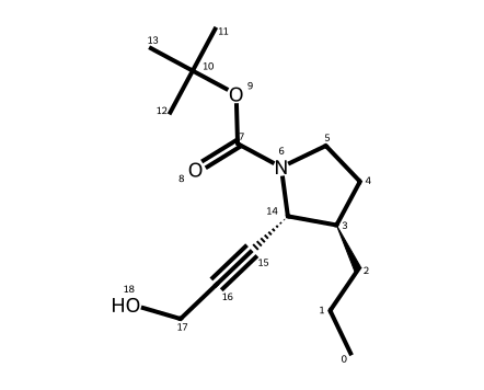 CCC[C@@H]1CCN(C(=O)OC(C)(C)C)[C@H]1C#CCO